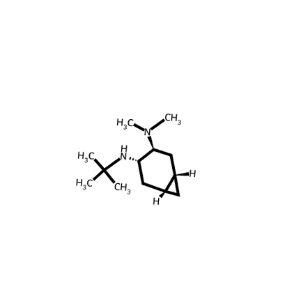 CN(C)[C@H]1C[C@@H]2C[C@@H]2C[C@@H]1NC(C)(C)C